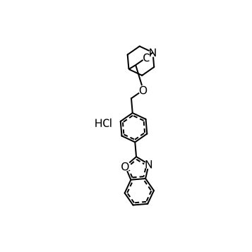 Cl.c1ccc2oc(-c3ccc(COC4CN5CCC4CC5)cc3)nc2c1